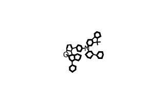 CC1(C)c2ccccc2-c2ccc(N(c3ccc(C4=CC=CC5Oc6cc(-c7ccccc7)c7ccccc7c6C45)cc3)c3cccc(-c4ccccc4)c3)cc21